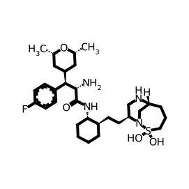 C[C@@H]1CC([C@H](c2ccc(F)cc2)[C@H](N)C(=O)N[C@H]2CCCC[C@@H]2CC[C@H]2CN[C@@H]3CCCS(O)(O)N2C3)C[C@H](C)O1